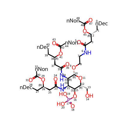 CCCCCCCCCCC[C@H](CC(=O)NCCO[C@@H]1O[C@H](CO)[C@@H](OP(=O)(O)O)[C@@H](NC(=O)C[C@@H](CCCCCCCCCCC)OC(=O)CCCCCCCCC)[C@H]1NC(=O)C[C@@H](CCCCCCCCCCC)OC(=O)CCCCCCCCC)OC(=O)CCCCCCCCC